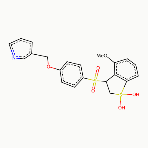 COc1cccc2c1C(S(=O)(=O)c1ccc(OCc3cccnc3)cc1)CS2(O)O